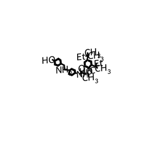 CCC(C)(C)c1ccc(OC(C)C(=O)Nc2ccc(CCc3ccc(O)cc3N)cc2)c(C(C)(C)CC)c1